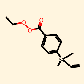 [CH2]COOC(=O)c1ccc([Si](C)(C)C=C)cc1